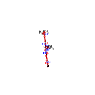 CC(C)(C)OC(=O)NCCOCCOCCOCCC(=O)NCCNC(=O)CC[C@H](NC(=O)OC(C)(C)C)C(=O)NCCNC(=O)CCOCCOCCOCCNC(=O)OCc1ccccc1